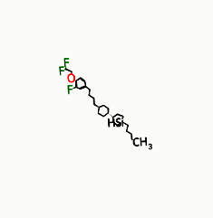 CCCCC[SiH]1CCC([C@H]2CC[C@H](CCCCc3ccc(OCC(F)F)c(F)c3)CC2)CC1